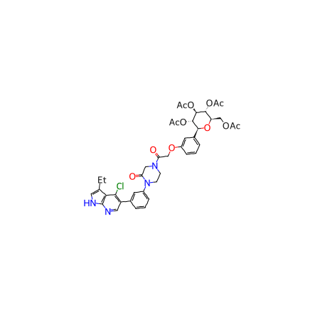 CCc1c[nH]c2ncc(-c3cccc(N4CCN(C(=O)COc5cccc([C@@H]6O[C@H](COC(C)=O)[C@@H](OC(C)=O)[C@H](OC(C)=O)[C@H]6OC(C)=O)c5)CC4=O)c3)c(Cl)c12